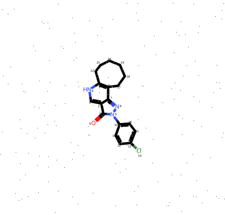 O=c1c2c[nH]c3c(c-2nn1-c1ccc(Cl)cc1)CCCCCC3